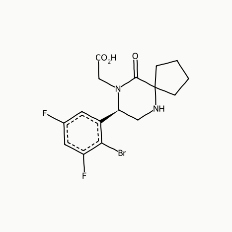 O=C(O)CN1C(=O)C2(CCCC2)NC[C@H]1c1cc(F)cc(F)c1Br